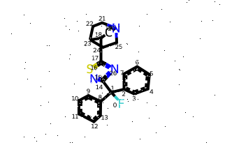 FC(c1ccccc1)(c1ccccc1)c1nsc(C2CN3CCC2CC3)n1